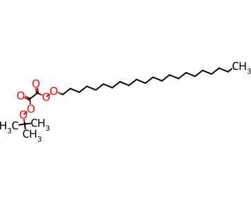 CCCCCCCCCCCCCCCCCCCCCCOOC(=O)C(=O)OOC(C)(C)C